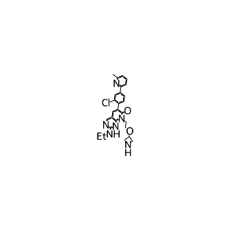 CCNc1ncc2cc(-c3ccc(-c4cccc(C)n4)cc3Cl)c(=O)n(CCOC3CNC3)c2n1